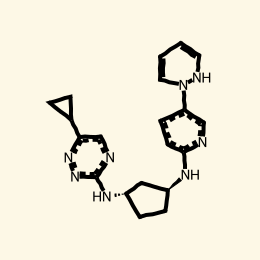 C1=CNN(c2ccc(N[C@H]3CC[C@H](Nc4ncc(C5CC5)nn4)C3)nc2)C=C1